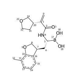 C=C(C(=O)N[C@@H](C[C@@H]1COc2c(C)cccc21)B(O)O)[C@@H]1CCOC1